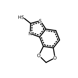 Sc1nc2c3c(ccc2s1)OCO3